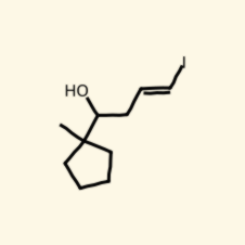 CC1(C(O)C/C=C/I)CCCC1